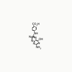 Nc1nc(O)c2nc(CNc3ccc(C(=O)O)cc3)cnc2n1.[NaH]